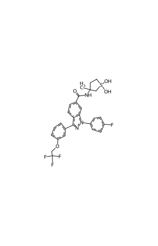 CC1(NC(=O)c2ccc3c(-c4cccc(OCC(F)(F)F)c4)nn(-c4ccc(F)cc4)c3c2)CCS(O)(O)C1